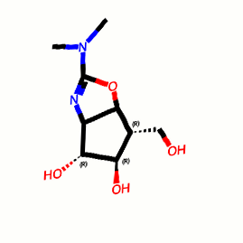 CN(C)C1=NC2C(O1)[C@H](CO)[C@@H](O)[C@@H]2O